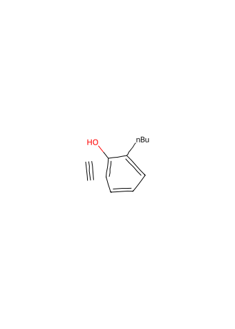 C#C.CCCCc1ccccc1O